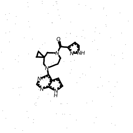 O=C(c1cc[nH]n1)N1CCN(c2ncnc3[nH]ccc23)CC2(CC2)C1